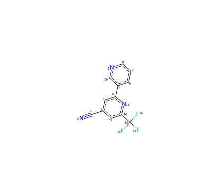 N#Cc1cc(-c2cccnc2)nc(C(F)(F)F)c1